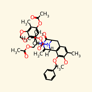 C=C1[C@H]2c3c(cc(C)c(OC)c3OCc3ccccc3)CC(C(=O)N1[C@@H](COC(C)=O)c1cc(OC(C)=O)c(C)c3c1OCO3)N2C(=O)OC(C)(C)C